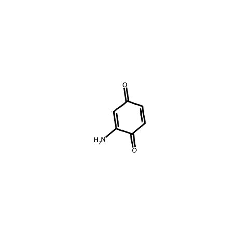 NC1=[C]C(=O)C=CC1=O